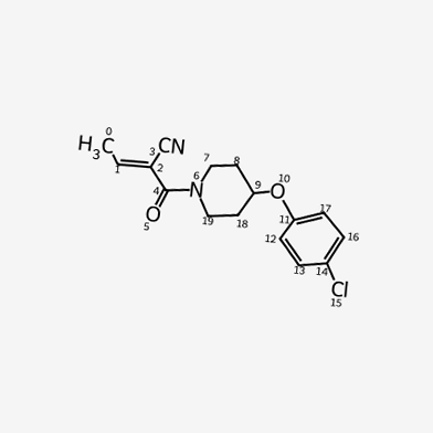 C/C=C(\C#N)C(=O)N1CCC(Oc2ccc(Cl)cc2)CC1